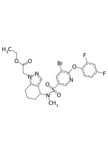 CCOC(=O)Cn1ncc2c1CCCC2N(C)S(=O)(=O)c1cnc(Oc2ccc(F)cc2F)c(Br)c1